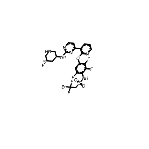 CCC(F)(F)CS(=O)(=O)Nc1c(F)cc(Oc2ncccc2-c2ccnc(NC3CNC[C@@H](F)C3)n2)c(F)c1F